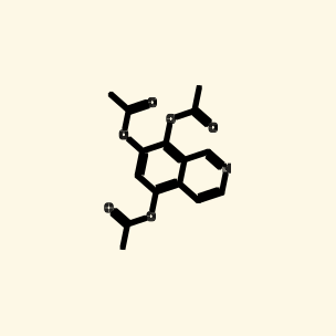 CC(=O)Oc1cc(OC(C)=O)c2ccncc2c1OC(C)=O